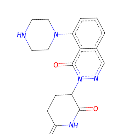 C=C1CCC(n2ncc3cccc(N4CCNCC4)c3c2=O)C(=O)N1